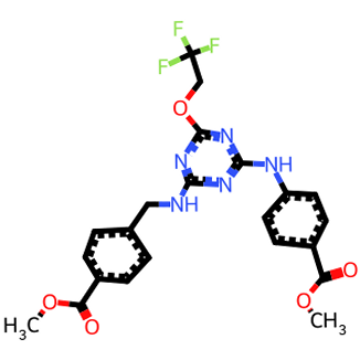 COC(=O)c1ccc(CNc2nc(Nc3ccc(C(=O)OC)cc3)nc(OCC(F)(F)F)n2)cc1